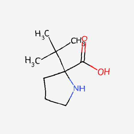 CC(C)(C)C1(C(=O)O)CCCN1